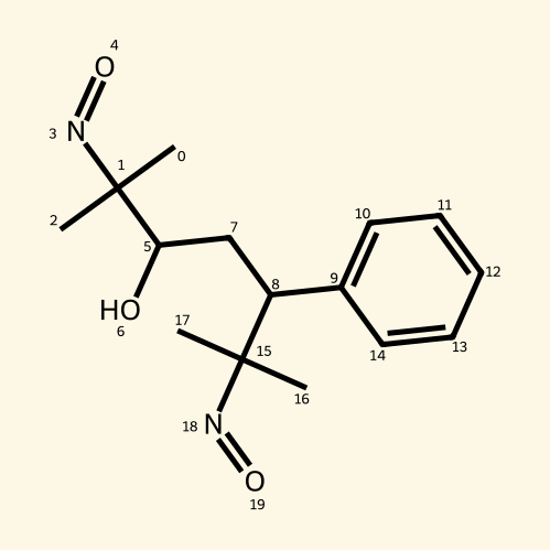 CC(C)(N=O)C(O)CC(c1ccccc1)C(C)(C)N=O